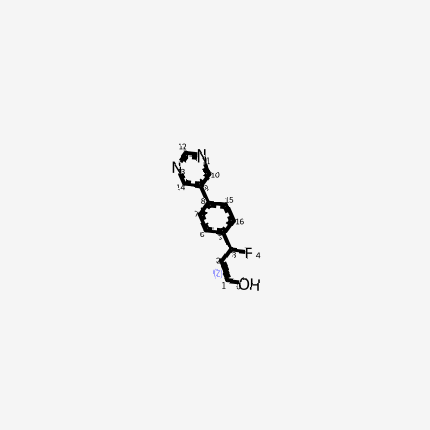 O/C=C\C(F)c1ccc(-c2cncnc2)cc1